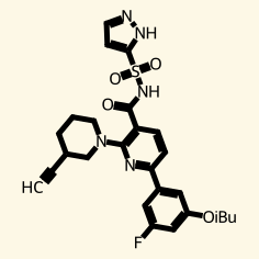 C#CC1CCCN(c2nc(-c3cc(F)cc(OCC(C)C)c3)ccc2C(=O)NS(=O)(=O)c2ccn[nH]2)C1